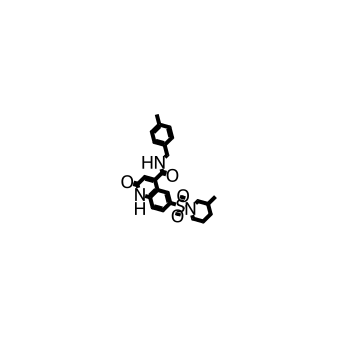 Cc1ccc(CNC(=O)c2cc(=O)[nH]c3ccc(S(=O)(=O)N4CCCC(C)C4)cc23)cc1